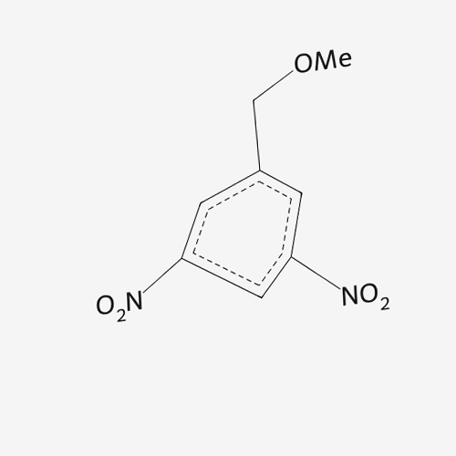 COCc1cc([N+](=O)[O-])cc([N+](=O)[O-])c1